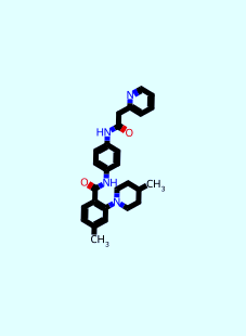 Cc1ccc(C(=O)Nc2ccc(NC(=O)Cc3ccccn3)cc2)c(N2CCC(C)CC2)c1